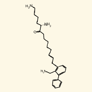 NCCCC[C@H](N)C(=O)CCCCCCCCc1cccc(-c2ccccc2)c1CN